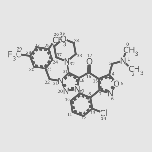 CN(C)Cc1onc(-c2ccccc2Cl)c1C(=O)c1nnn(Cc2cc(C(F)(F)F)cc(C(F)(F)F)c2)c1N1CCOCC1